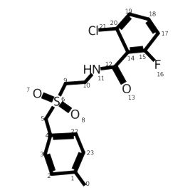 Cc1ccc(CS(=O)(=O)CCNC(=O)c2c(F)cccc2Cl)cc1